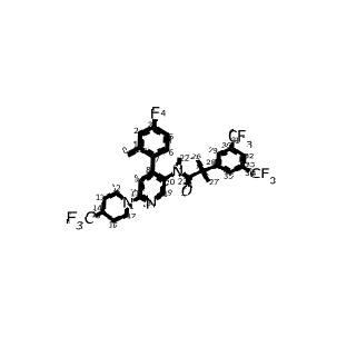 Cc1cc(F)ccc1-c1cc(N2CCC(C(F)(F)F)CC2)ncc1N(C)C(=O)C(C)(C)c1cc(C(F)(F)F)cc(C(F)(F)F)c1